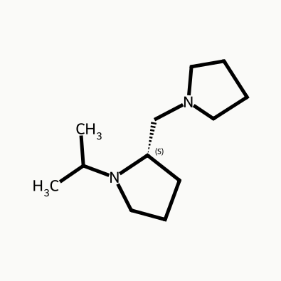 CC(C)N1CCC[C@H]1CN1CCCC1